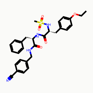 CCOc1ccc(C[C@@H](NS(C)(=O)=O)C(=O)N[C@@H](Cc2ccccc2)C(=O)NCc2ccc(C#N)cc2)cc1